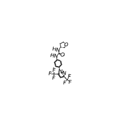 O=C(Nc1ccc(-n2nc(C(F)(F)F)cc2C(F)(F)F)cc1)NC1CCOC1